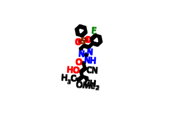 C=CC(/C(O)=C(\C#N)C(=O)Nc1ncc(S(=O)(=O)c2ccccc2)c(-c2cccc(F)c2)n1)=C(/C)OC